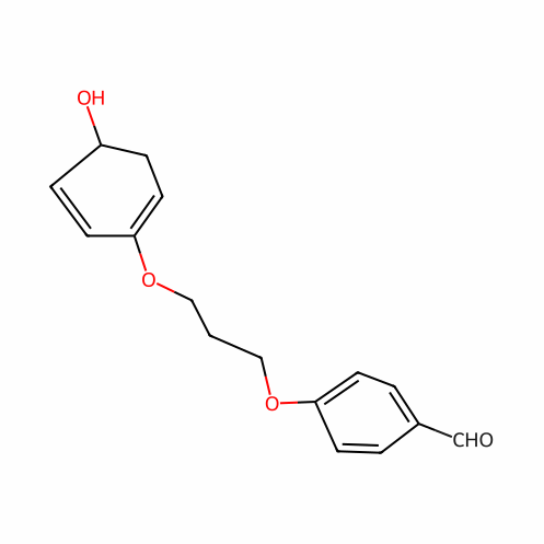 O=Cc1ccc(OCCCOC2=CCC(O)C=C2)cc1